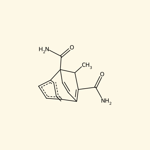 CC1C(C(N)=O)=C2C=CC1(C(N)=O)c1ccc2cc1